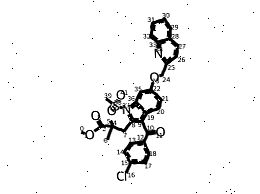 COC(=O)C(C)(C)Cc1c(C(=O)c2ccc(Cl)cc2)c2ccc(OCc3ccc4ccccc4n3)cc2n1S(C)(=O)=O